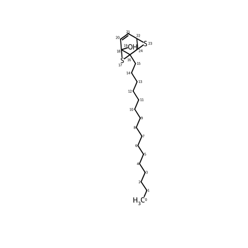 CCCCCCCCCCCCCCCCC12SC1(O)C=CC1SC12